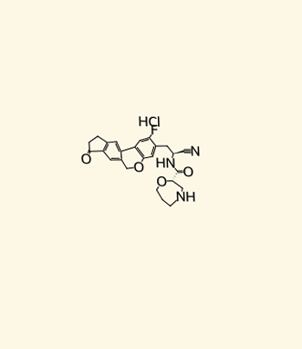 Cl.N#C[C@H](Cc1cc2c(cc1F)-c1cc3c(cc1CO2)C(=O)CC3)NC(=O)[C@@H]1CNCCCO1